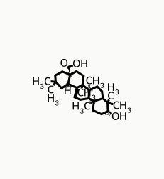 CC1(C)CC[C@]2(C(=O)O)CCC3(C)C(=CCC4[C@@]5(C)CC[C@H](O)C(C)(C)C5CC[C@]43C)[C@@H]2C1